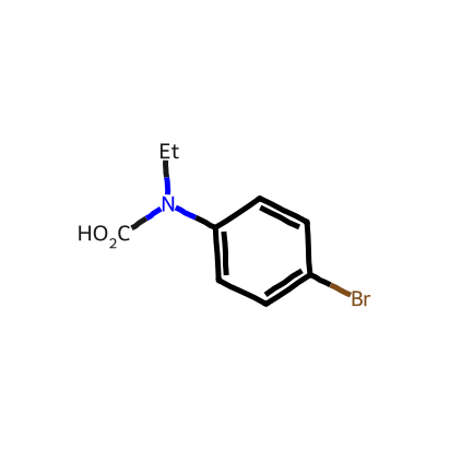 CCN(C(=O)O)c1ccc(Br)cc1